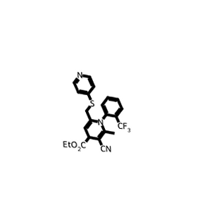 CCOC(=O)C1C=C(CSc2ccncc2)N(c2ccccc2C(F)(F)F)C(C)=C1C#N